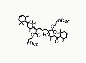 CCCCCCCCCCCCOC(=O)C(CCCC(NC(C)CC(=O)C1C(C)C=CCC1(C)C)C(=O)OCCCCCCCCCCCC)NC(C)CC(=O)C1C(C)C=CCC1(C)C